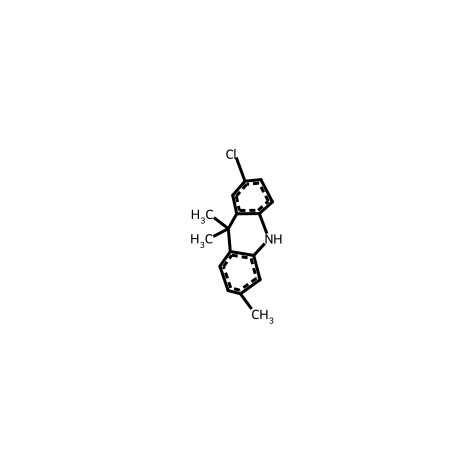 Cc1ccc2c(c1)Nc1ccc(Cl)cc1C2(C)C